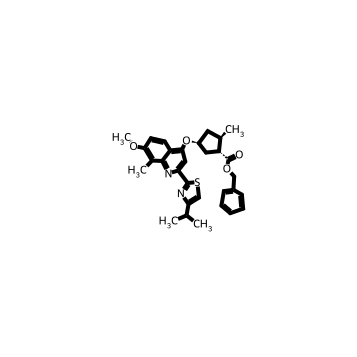 COc1ccc2c(O[C@@H]3C[C@@H](C)[C@H](C(=O)OCc4ccccc4)C3)cc(-c3nc(C(C)C)cs3)nc2c1C